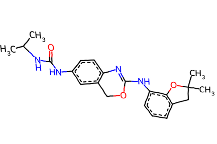 CC(C)NC(=O)Nc1ccc2c(c1)COC(Nc1cccc3c1OC(C)(C)C3)=N2